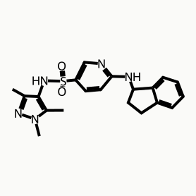 Cc1nn(C)c(C)c1NS(=O)(=O)c1ccc(NC2CCc3ccccc32)nc1